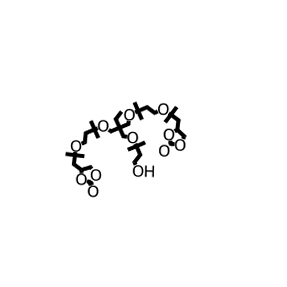 CCC(COC(C)(C)CCO)(COC(C)(C)CCOC(C)(C)CC1COC(=O)O1)COC(C)(C)CCOC(C)(C)CC1COC(=O)O1